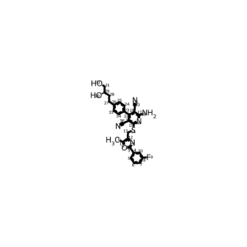 Cc1oc(-c2cccc(F)c2)nc1CSc1nc(N)c(C#N)c(-c2ccc(CC[C@@H](O)CO)cc2)c1C#N